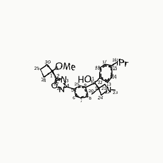 COC1(c2nc(-c3cccc([C@@](O)(c4ccc(C(C)C)cc4)C4(C)CN(C)C4)c3)no2)CCC1